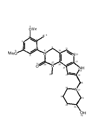 COc1cc(OC)c(F)c(N2Cc3cnc4[nH]c(CN5CCCC(O)C5)cc4c3N(C)C2=O)c1